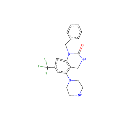 O=C1NCc2c(N3CCNCC3)cc(C(F)(F)F)cc2N1Cc1ccccc1